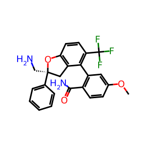 COc1ccc(C(N)=O)c(-c2c(C(F)(F)F)ccc3c2C[C@@](CN)(c2ccccc2)O3)c1